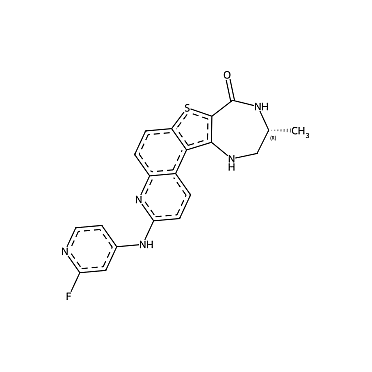 C[C@@H]1CNc2c(sc3ccc4nc(Nc5ccnc(F)c5)ccc4c23)C(=O)N1